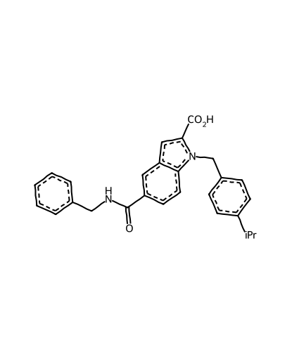 CC(C)c1ccc(Cn2c(C(=O)O)cc3cc(C(=O)NCc4ccccc4)ccc32)cc1